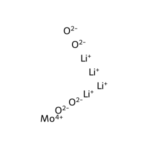 [Li+].[Li+].[Li+].[Li+].[Mo+4].[O-2].[O-2].[O-2].[O-2]